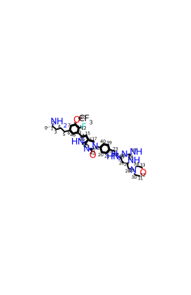 C[C@H](N)CCCc1cc(OC(F)(F)F)c(F)c(-c2cc3cn(-c4ccc(CNCC[C@H](CN5CCOCC5)NC(=N)N)cc4)c(=O)nc3[nH]2)c1